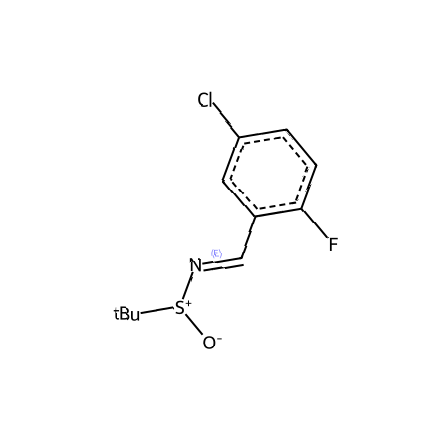 CC(C)(C)[S+]([O-])/N=C/c1cc(Cl)ccc1F